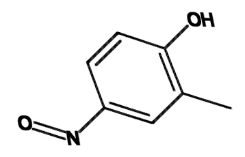 Cc1cc(N=O)ccc1O